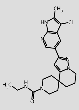 CCNC(=O)N1CCC2(CCCn3nc(-c4cnc5[nH]c(C)c(Cl)c5c4)cc32)CC1